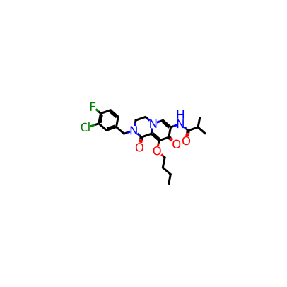 CCCCOc1c2n(cc(NC(=O)C(C)C)c1=O)CCN(Cc1ccc(F)c(Cl)c1)C2=O